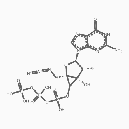 [N-]=[N+]=NC[C@]12O[C@@H](n3cnc4c(=O)[nH]c(N)nc43)[C@H](F)[C@@]1(O)C2OP(=O)(O)OP(=O)(O)OP(=O)(O)O